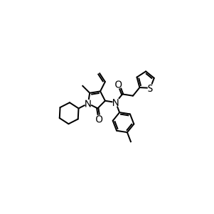 C=CC1=C(C)N(C2CCCCC2)C(=O)C1N(C(=O)Cc1cccs1)c1ccc(C)cc1